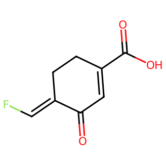 O=C(O)C1=CC(=O)/C(=C/F)CC1